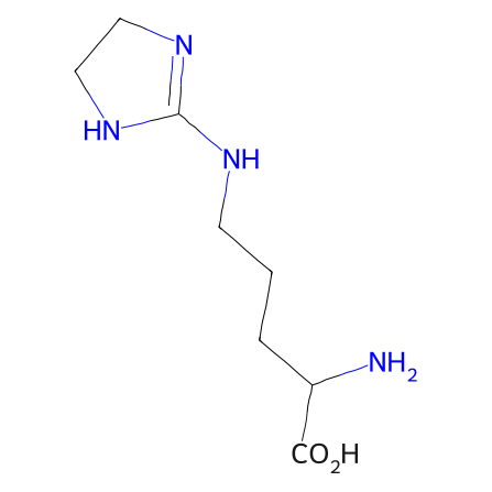 NC(CCCNC1=NCCN1)C(=O)O